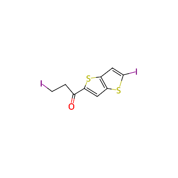 O=C(CCI)c1cc2sc(I)cc2s1